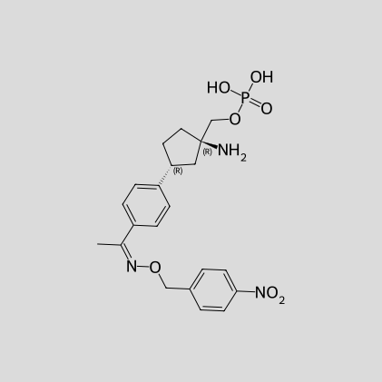 CC(=NOCc1ccc([N+](=O)[O-])cc1)c1ccc([C@@H]2CC[C@](N)(COP(=O)(O)O)C2)cc1